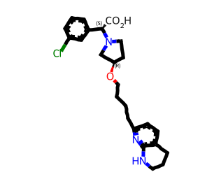 O=C(O)[C@H](c1cccc(Cl)c1)N1CC[C@@H](OCCCCc2ccc3c(n2)NCCC3)C1